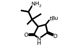 CC(N)C(C)(C)C1C(=O)NC(=O)C1C(C)(C)C